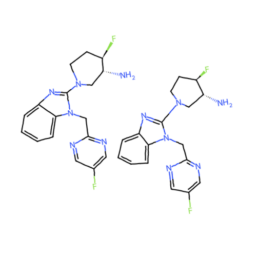 N[C@@H]1CN(c2nc3ccccc3n2Cc2ncc(F)cn2)CC[C@H]1F.N[C@@H]1CN(c2nc3ccccc3n2Cc2ncc(F)cn2)CC[C@H]1F